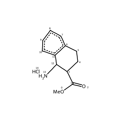 COC(=O)C1CCc2ccccc2C1N.Cl